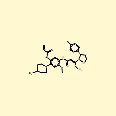 C=CC(=O)Nc1cc(NC(=N)/C=C(\NN)N2OCC[C@@H]2c2ccc(C)nc2)c(OC)cc1N1CCC(N)CC1